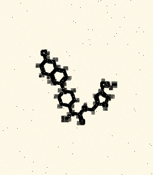 CCN(C(=O)OCc1cc(C(=O)O)no1)C1CCN(c2ccc3cc(Cl)ccc3n2)CC1